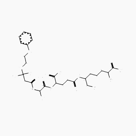 CC(NC(=O)CC(C)(C)SCCOc1ccccc1)C(=O)NC(CCC(=O)NC(CO)CCCC(N)C(=O)O)C(=O)O